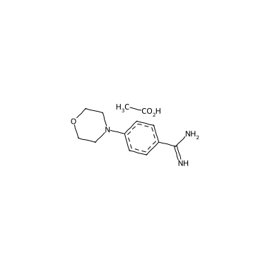 CC(=O)O.N=C(N)c1ccc(N2CCOCC2)cc1